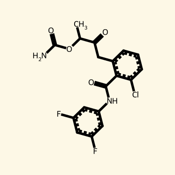 CC(OC(N)=O)C(=O)Cc1cccc(Cl)c1C(=O)Nc1cc(F)cc(F)c1